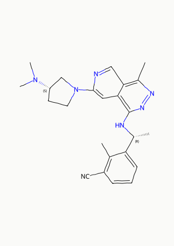 Cc1c(C#N)cccc1[C@@H](C)Nc1nnc(C)c2cnc(N3CC[C@H](N(C)C)C3)cc12